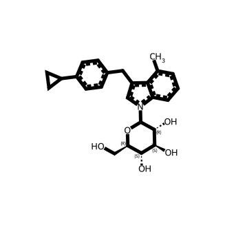 Cc1cccc2c1c(Cc1ccc(C3CC3)cc1)cn2C1O[C@H](CO)[C@@H](O)[C@H](O)[C@H]1O